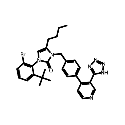 CCCCc1cn(-c2c(Br)cccc2C(C)(C)C)c(=O)n1Cc1ccc(-c2ccncc2-c2nnn[nH]2)cc1